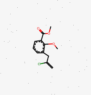 C=C(Cl)Cc1cccc(C(=O)OC)c1OC